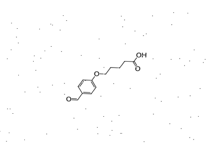 O=Cc1ccc(OCCCCC(=O)O)cc1